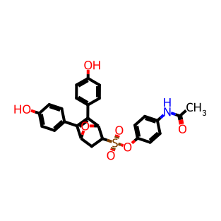 CC(=O)Nc1ccc(OS(=O)(=O)C2CC3OC2C(c2ccc(O)cc2)=C3c2ccc(O)cc2)cc1